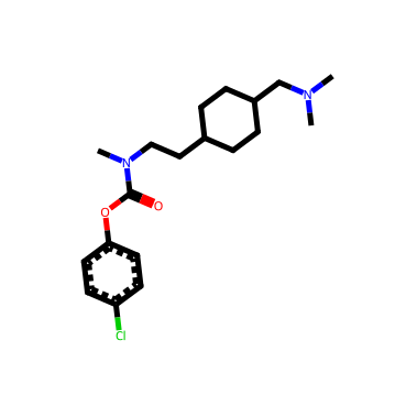 CN(C)CC1CCC(CCN(C)C(=O)Oc2ccc(Cl)cc2)CC1